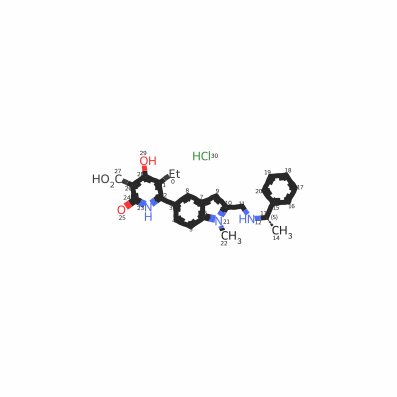 CCc1c(-c2ccc3c(c2)cc(CN[C@@H](C)c2ccccc2)n3C)[nH]c(=O)c(C(=O)O)c1O.Cl